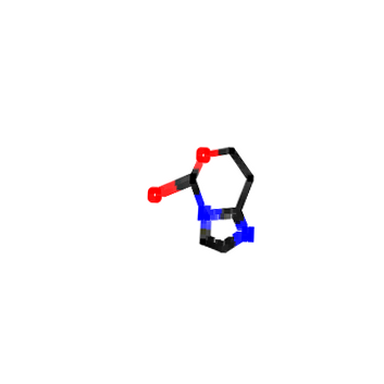 O=C1OCCc2nccn21